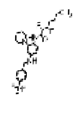 CCCC[C@@H](F)[C@@H](F)C(=O)Nc1ccc(NCc2ccc(C(F)(F)F)cc2)cc1N1CCCCC1